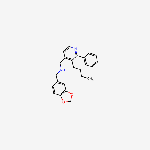 CCCCc1c(CNCc2ccc3c(c2)OCO3)ccnc1-c1ccccc1